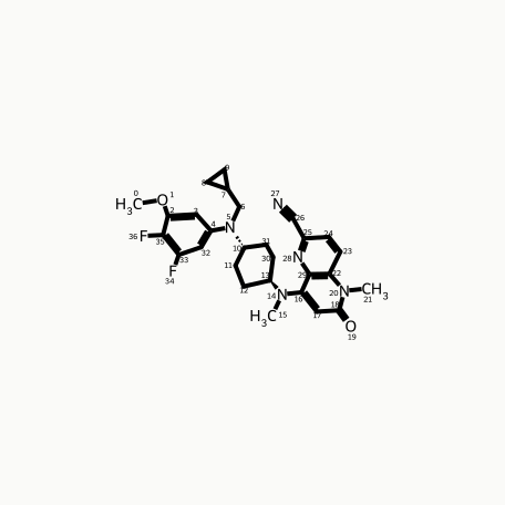 COc1cc(N(CC2CC2)[C@H]2CC[C@H](N(C)c3cc(=O)n(C)c4ccc(C#N)nc34)CC2)cc(F)c1F